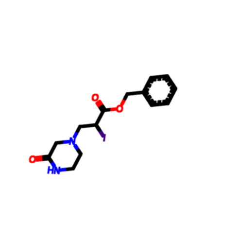 O=C1CN(CC(I)C(=O)OCc2ccccc2)CCN1